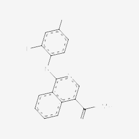 COC(=O)c1cnc(Nc2ccc(F)cc2F)c2ccccc12